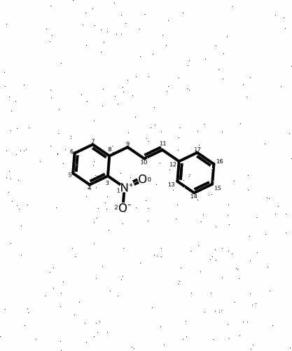 O=[N+]([O-])c1ccccc1CC=Cc1ccccc1